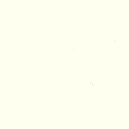 Nc1cc(C(Cl)CCC(=O)O)ccc1-c1ccccc1